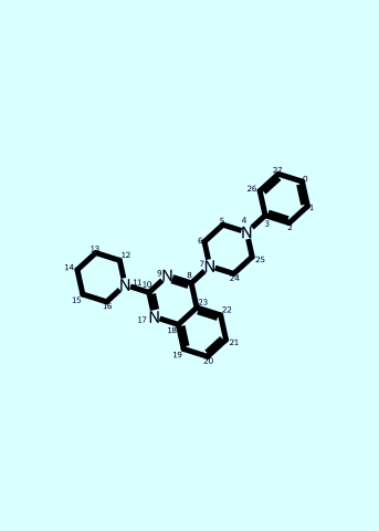 c1ccc(N2CCN(c3nc(N4CCCCC4)nc4ccccc34)CC2)cc1